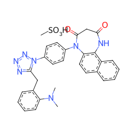 CN(C)c1ccccc1Cc1nnnn1-c1ccc(N2C(=O)CC(=O)Nc3c2ccc2ccccc32)cc1.CS(=O)(=O)O